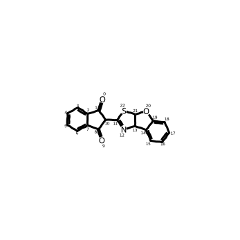 O=C1c2ccccc2C(=O)C1C1=NC2c3ccccc3OC2S1